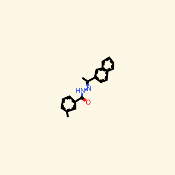 C/C(=N\NC(=O)c1cccc(C)c1)c1ccc2ccccc2c1